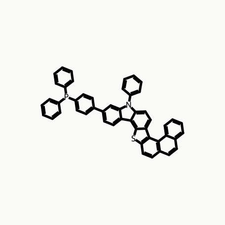 c1ccc(-n2c3cc(-c4ccc(P(c5ccccc5)c5ccccc5)cc4)ccc3c3c4sc5ccc6ccc7ccccc7c6c5c4ccc32)cc1